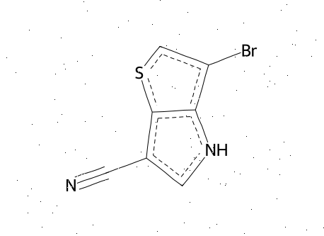 N#Cc1c[nH]c2c(Br)csc12